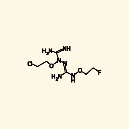 N=C(N)N(N=C(N)NOCCF)OCCCl